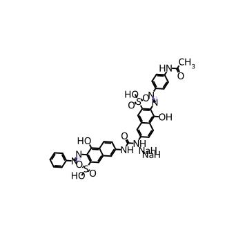 CC(=O)Nc1ccc(/N=N/c2c(S(=O)(=O)O)cc3cc(NC(=O)Nc4ccc5c(O)c(/N=N/c6ccccc6)c(S(=O)(=O)O)cc5c4)ccc3c2O)cc1.[NaH].[NaH]